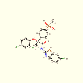 CC(Oc1ccc(F)cc1F)(C(=O)Nc1nc2ccc(F)cc2s1)c1ccc(S(C)(=O)=O)cc1